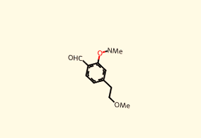 CNOc1cc(CCOC)ccc1C=O